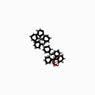 c1ccc([Si]2(c3ccccc3)c3ccccc3P(c3ccc(N4c5ccccc5C5(c6ccccc6Oc6ccccc65)c5ccccc54)cc3)c3ccccc32)cc1